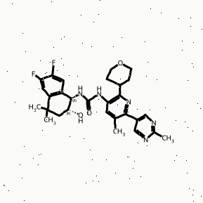 Cc1ncc(-c2nc(C3CCOCC3)c(NC(=O)N[C@@H]3c4cc(F)c(F)cc4C(C)(C)C[C@H]3O)cc2C)cn1